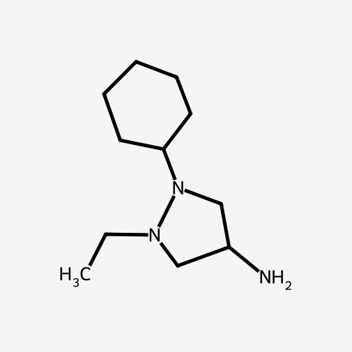 CCN1CC(N)CN1C1CCCCC1